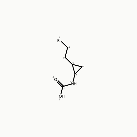 O=C(O)NC1CC1CCBr